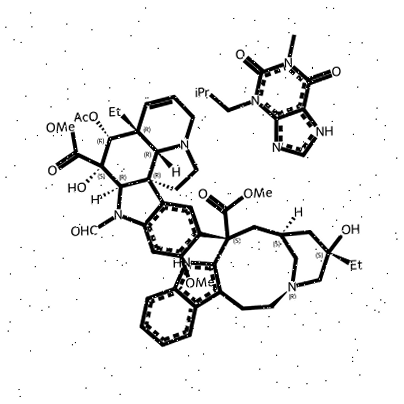 CC(C)Cn1c(=O)n(C)c(=O)c2[nH]cnc21.CC[C@]1(O)C[C@H]2C[N@](CCc3c([nH]c4ccccc34)[C@@](C(=O)OC)(c3cc4c(cc3OC)N(C=O)[C@H]3[C@@](O)(C(=O)OC)[C@H](OC(C)=O)[C@]5(CC)C=CCN6CC[C@]43[C@@H]65)C2)C1